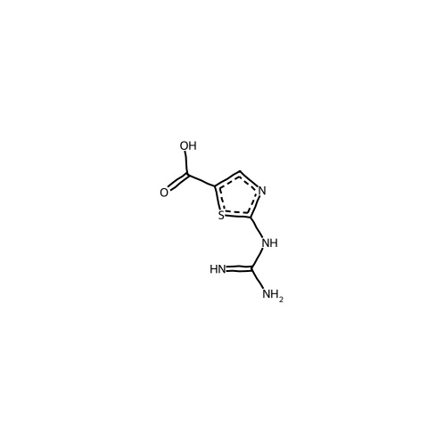 N=C(N)Nc1ncc(C(=O)O)s1